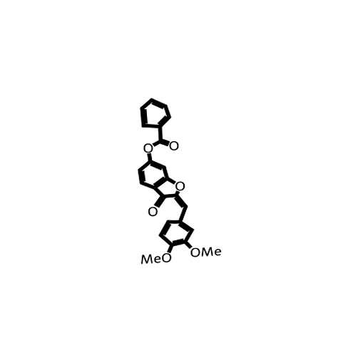 COc1ccc(C=C2Oc3cc(OC(=O)c4ccccc4)ccc3C2=O)cc1OC